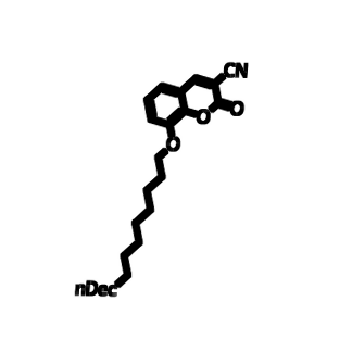 CCCCCCCCCCCCCCCCCCOc1cccc2cc(C#N)c(=O)oc12